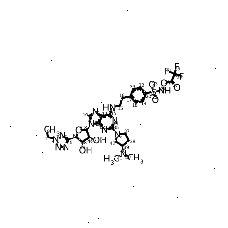 CCn1nnc([C@H]2O[C@@H](n3cnc4c(NCCc5ccc(S(=O)(=O)NOC(=O)C(F)(F)F)cc5)nc(N5CC[C@@H](N(C)C)C5)nc43)[C@@H](O)[C@@H]2O)n1